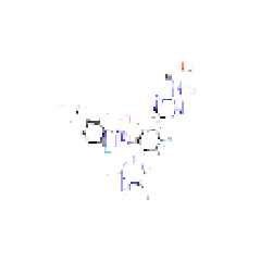 CC1CN(c2cc(F)c(-c3cnc(N4CCOCC4)nc3)cc2NC(=O)c2cc(C(F)(F)F)ccc2F)CC(C)N1C